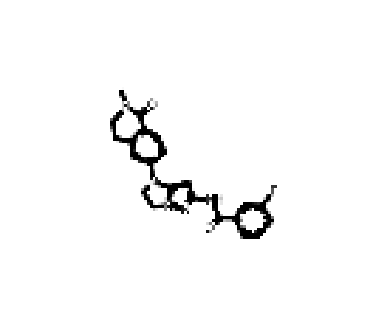 CN1CCc2cc(N3CCn4nc(NC(=O)c5cccc(F)c5)cc43)ccc2C1=O